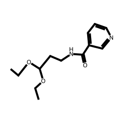 CCOC(CCNC(=O)c1cccnc1)OCC